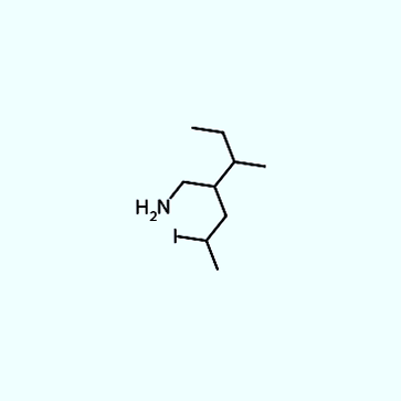 CCC(C)C(CN)CC(C)I